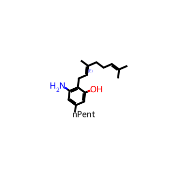 CCCCCc1cc(N)c(C/C=C(\C)CCC=C(C)C)c(O)c1